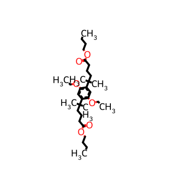 CCCCOC(=O)CCCC(C)(C)c1cc(OCC)c(C(C)(C)CCCC(=O)OCCCC)cc1OCC